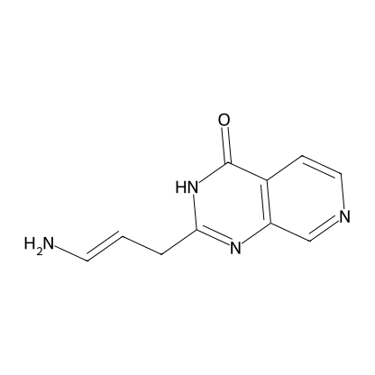 NC=CCc1nc2cnccc2c(=O)[nH]1